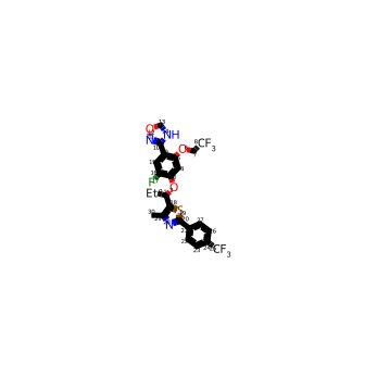 CCC(Oc1cc(OCC(F)(F)F)c(C2=NOCN2)cc1F)c1sc(-c2ccc(C(F)(F)F)cc2)nc1C